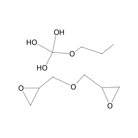 C(OCC1CO1)C1CO1.CCCOC(O)(O)O